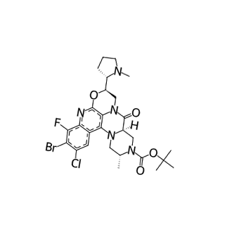 C[C@@H]1CN2c3c4c(nc5c(F)c(Br)c(Cl)cc35)O[C@@H]([C@@H]3CCCN3C)CN4C(=O)[C@H]2CN1C(=O)OC(C)(C)C